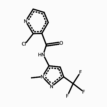 Cn1nc(C(F)(F)F)cc1NC(=O)c1cccnc1Cl